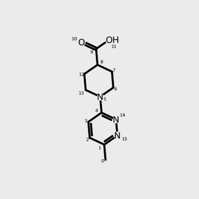 Cc1ccc(N2CCC(C(=O)O)CC2)nn1